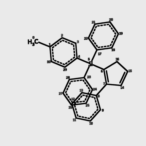 Cc1ccc([Si](C2=C(c3ccccc3)C=CC2)(c2ccccc2)c2ccccc2)cc1